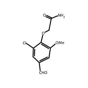 COc1cc(C=O)cc(Cl)c1OCC(N)=O